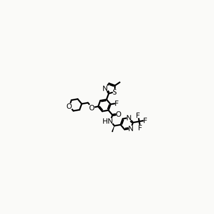 Cc1cnc(-c2cc(OCC3CCOCC3)cc(C(=O)N[C@H](C)c3cnc(C(F)(F)F)nc3)c2F)s1